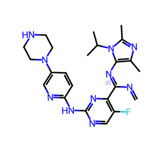 C=N/C(=N\c1c(C)nc(C)n1C(C)C)c1nc(Nc2ccc(N3CCNCC3)cn2)ncc1F